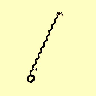 [SiH3]CCCCCCCCCCCCCCCCCCNCc1ccccc1